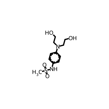 CS(=O)(=O)Nc1ccc(N(CCO)CCO)cc1